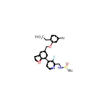 CCOC(=O)Cc1ccc(C(C)=O)cc1OCc1cc(-c2ccnc(CN[S@@+]([O-])C(C)(C)C)c2F)c2occc2c1